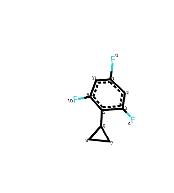 Fc1[c]c(F)c(C2CC2)c(F)c1